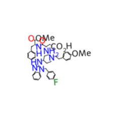 COC(=O)[C@H](Cc1ccccc1)NC(=O)[C@@H](N)CC(=O)O.COc1ccc(CCN2CCC(Nc3nc4ccccc4n3Cc3ccc(F)cc3)CC2)cc1